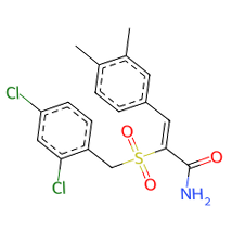 Cc1ccc(C=C(C(N)=O)S(=O)(=O)Cc2ccc(Cl)cc2Cl)cc1C